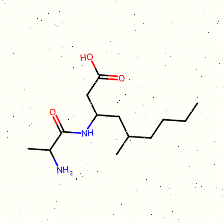 CCCCC(C)CC(CC(=O)O)NC(=O)C(C)N